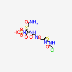 NC(=O)CS[C@H]1[C@H](NC(=O)C=NOCc2csc(NC(=O)CCl)n2)C(=O)N1S(=O)(=O)O